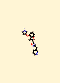 Cc1c(-c2nc(Cc3cccnc3)no2)oc2cccc(OC3CCNC3)c12